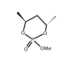 COP1(=O)O[C@@H](C)C[C@H](C)O1